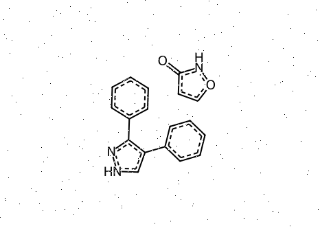 O=c1cco[nH]1.c1ccc(-c2c[nH]nc2-c2ccccc2)cc1